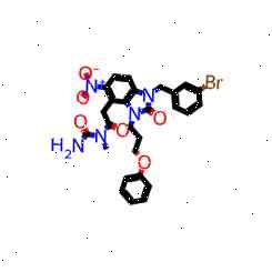 CN(C(N)=O)C(=O)Cc1c([N+](=O)[O-])ccc2c1n(CCCOc1ccccc1)c(=O)n2Cc1cccc(Br)c1